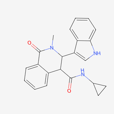 CN1C(=O)c2ccccc2C(C(=O)NC2CC2)C1c1c[nH]c2ccccc12